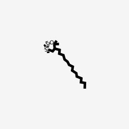 CCCCCCCCCCCCCCC1C[Si](C)(C)[Si](C)(C)OC1(C)C